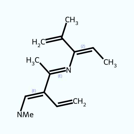 C=CC(=C\NC)/C(C)=N/C(=C\C)C(=C)C